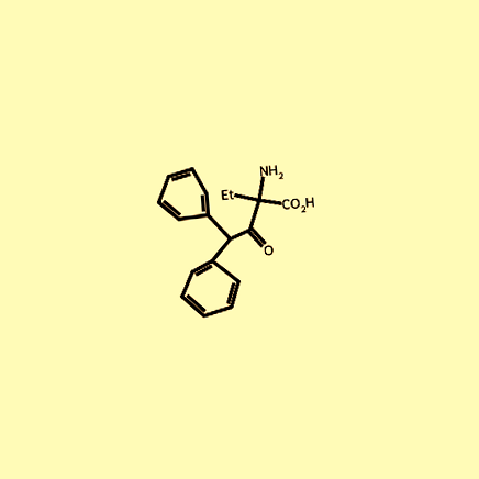 CCC(N)(C(=O)O)C(=O)C(c1ccccc1)c1ccccc1